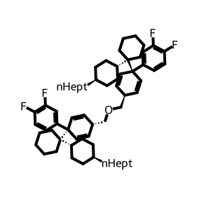 CCCCCCC[C@H]1CC[C@H](C2([C@]3(c4ccc(F)c(F)c4)C=C[C@H](COC[C@H]4C=C[C@@](c5ccc(F)c(F)c5)(C5([C@H]6CC[C@H](CCCCCCC)CC6)CCCCC5)C=C4)C=C3)CCCCC2)CC1